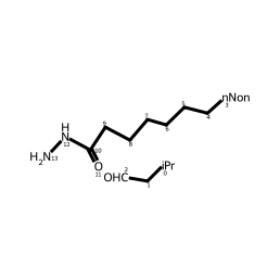 CC(C)CC=O.CCCCCCCCCCCCCCCC(=O)NN